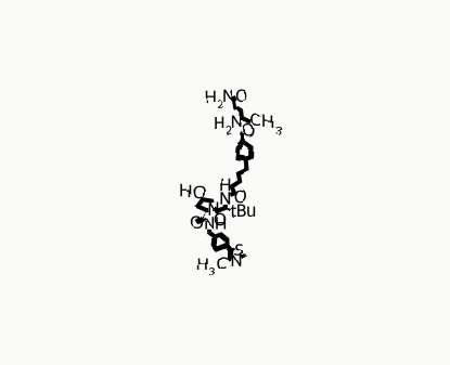 Cc1ncsc1-c1ccc(CNC(=O)[C@@H]2C[C@@H](O)CN2C(=O)[C@@H](NC(=O)CCCCc2ccc(CO[C@H](C)[C@@H](N)CCC(N)=O)cc2)C(C)(C)C)cc1